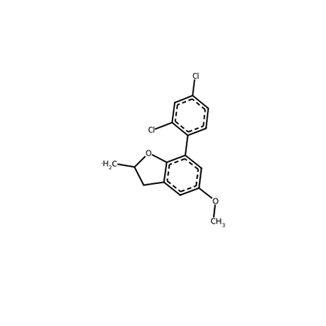 [CH2]C1Cc2cc(OC)cc(-c3ccc(Cl)cc3Cl)c2O1